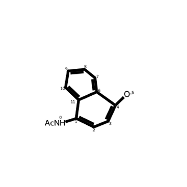 CC(=O)Nc1ccc([O])c2ccccc12